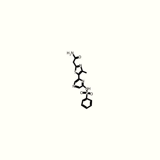 Cc1nc(CC(N)=O)sc1-c1cncc(NS(=O)(=O)c2ccccc2)n1